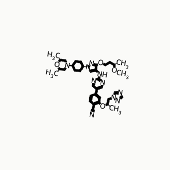 CO[C@@H](C)CCOc1nn([C@H]2CC[C@H](N3C[C@@H](C)O[C@@H](C)C3)CC2)cc1Nc1ncc(-c2ccc(C#N)c(O[C@@H](C)Cn3cncn3)c2)cn1